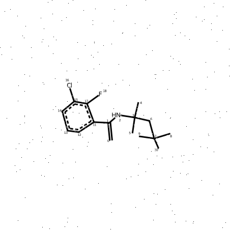 C=C(NC(C)(C)CC(C)(C)C)c1cccc(Cl)c1F